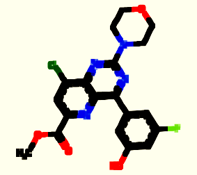 COC(=O)c1cc(Cl)c2nc(N3CCOCC3)nc(-c3cc(O)cc(F)c3)c2n1